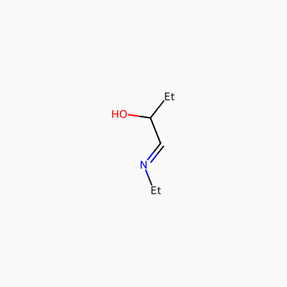 CCN=CC(O)CC